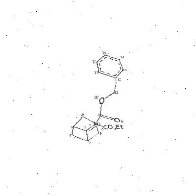 CCOC(=O)C=C1C2CC1CN(C(=O)OCc1ccccc1)C2